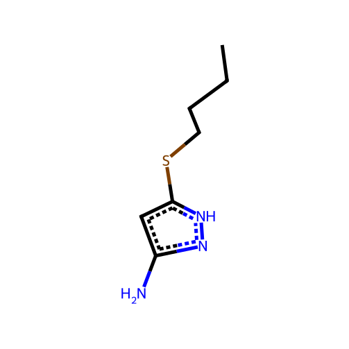 CCCCSc1cc(N)n[nH]1